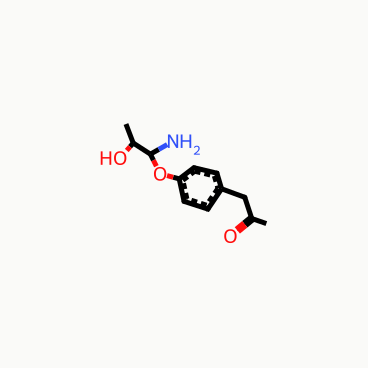 CC(=O)Cc1ccc(OC(N)C(C)O)cc1